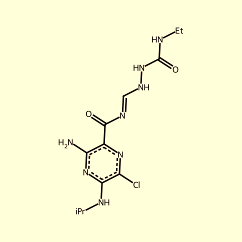 CCNC(=O)NNC=NC(=O)c1nc(Cl)c(NC(C)C)nc1N